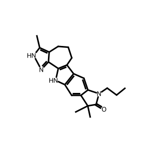 CCCN1C(=O)C(C)(C)c2cc3[nH]c4c(c3cc21)CCCc1c-4n[nH]c1C